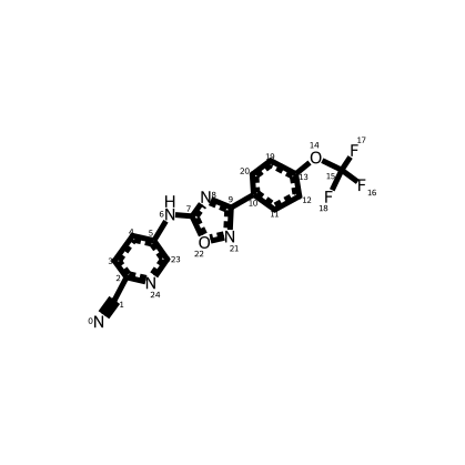 N#Cc1ccc(Nc2nc(-c3ccc(OC(F)(F)F)cc3)no2)cn1